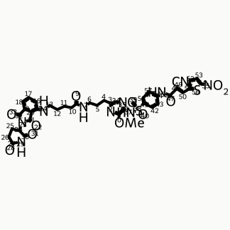 COc1nc(CCCNC(=O)CCCCNc2cccc3c2C(=O)N(C2CCC(=O)NC2=O)C3=O)cnc1NS(=O)(=O)c1ccc(NC(=O)/C(C#N)=C/c2ccc([N+](=O)[O-])s2)cc1